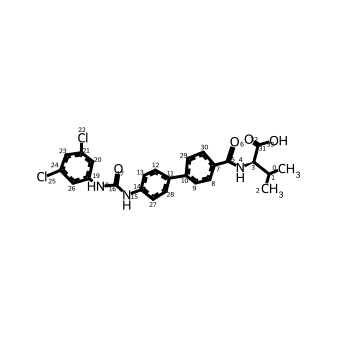 CC(C)[C@@H](NC(=O)c1ccc(-c2ccc(NC(=O)Nc3cc(Cl)cc(Cl)c3)cc2)cc1)C(=O)O